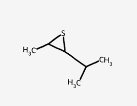 CC(C)C1SC1C